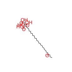 CCCC(=O)CCCCCCCCCCCCCCCCCCCCCCCC(C(=O)O)C(O)(CC(=O)O)C(=O)O